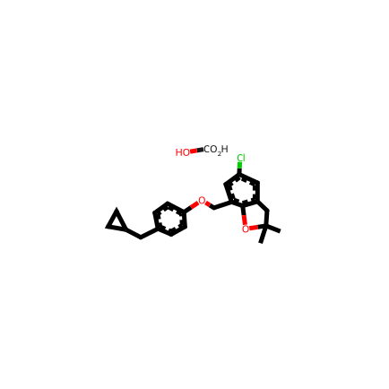 CC1(C)Cc2cc(Cl)cc(COc3ccc(CC4CC4)cc3)c2O1.O=C(O)O